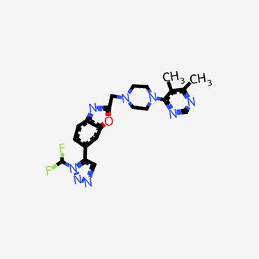 Cc1ncnc(N2CCN(Cc3nc4ccc(-c5cnnn5C(F)F)cc4o3)CC2)c1C